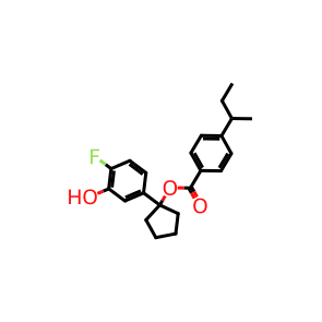 CCC(C)c1ccc(C(=O)OC2(c3ccc(F)c(O)c3)CCCC2)cc1